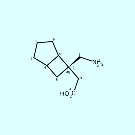 NC[C@@]1(CC(=O)O)CC2CCCC21